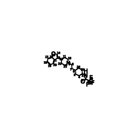 O=C(NC1CCC(CCN2CCC(c3coc4ccccc34)CC2)CC1)C(F)(F)F